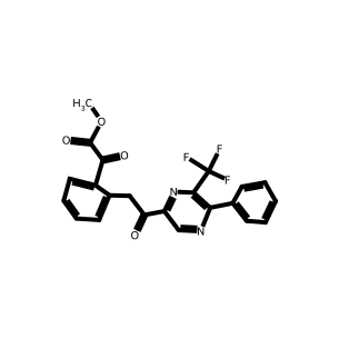 COC(=O)C(=O)c1ccccc1CC(=O)c1cnc(-c2ccccc2)c(C(F)(F)F)n1